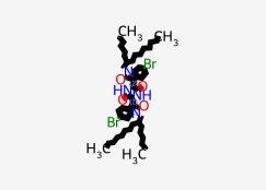 CCCCCCCCC(CCCCCC)CN1C(=O)/C(=c2\[nH]c(=O)/c(=C3/C(=O)N(CC(CCCCCC)CCCCCCCC)c4cc(Br)ccc43)[nH]c2=O)c2ccc(Br)cc21